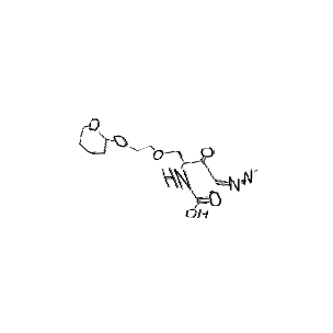 [N-]=[N+]=CC(=O)[C@H](COCCOC1CCCCO1)NC(=O)O